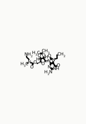 C=CCn1c(=O)n([C@H]2O[C@@H](COC(=O)N(C)CCN)[C@@H]3OC(C)(C)O[C@@H]32)c2nc(N)[nH]c(=O)c21